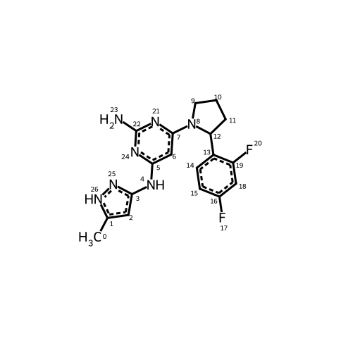 Cc1cc(Nc2cc(N3CCCC3c3ccc(F)cc3F)nc(N)n2)n[nH]1